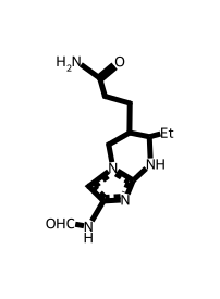 CCC1Nc2nc(NC=O)cn2CC1CCC(N)=O